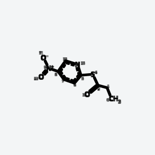 CCC(=O)Sc1ccc([N+](=O)[O-])cn1